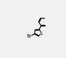 C=C(/C=C\C)c1cc(Br)cs1